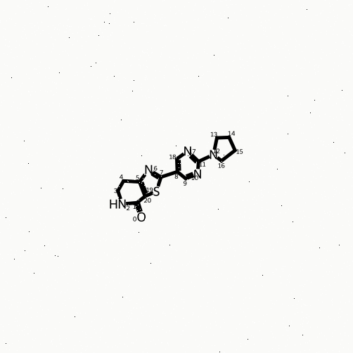 O=C1NCCc2nc(-c3cnc(N4CCCC4)nc3)sc21